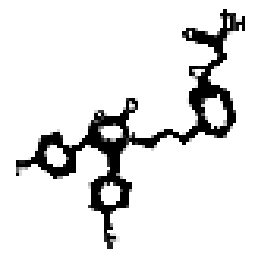 O=C(O)COc1cccc(CCCn2c(-c3ccc(F)cc3)c(-c3ccc(F)cc3)sc2=O)c1